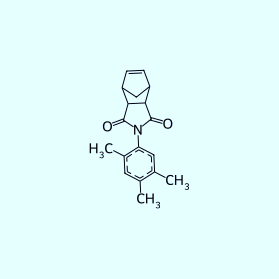 Cc1cc(C)c(N2C(=O)C3C4C=CC(C4)C3C2=O)cc1C